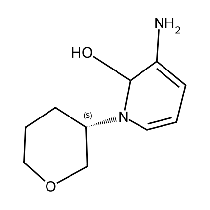 NC1=CC=CN([C@H]2CCCOC2)C1O